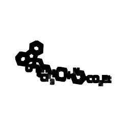 CCOC(=O)c1ccc(N2CCN(CCCCC3(C(=O)NCC(F)(F)F)c4ccccc4-c4ccccc43)CC2)nc1